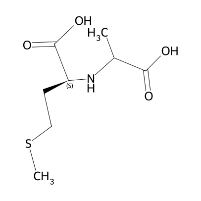 CSCC[C@H](NC(C)C(=O)O)C(=O)O